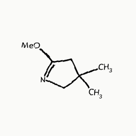 COC1=NCC(C)(C)C1